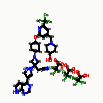 N#CCC1(n2cc(-c3ncnc4[nH]ccc34)cn2)CN([C@H]2CC[C@@H](Oc3cc(CN4CCC(O)CC4)cc(C(F)(F)F)n3)CC2)C1.O=C(O)C(F)(F)F.O=C(O)C(F)(F)F.O=C(O)C(F)(F)F